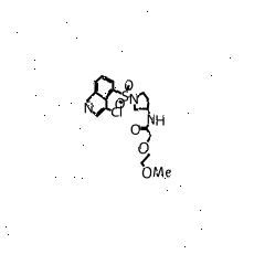 COCCOCC(=O)N[C@@H]1CCN(S(=O)(=O)c2cccc3cncc(Cl)c23)C1